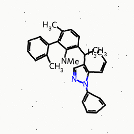 C/C=C\c1c(C(C)c2ccc(C)c(-c3ccccc3C)c2NC)cnn1-c1ccccc1